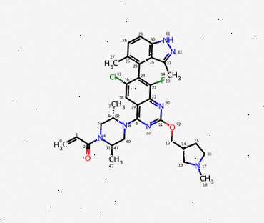 C=CC(=O)N1C[C@H](C)N(c2nc(OCC3CCN(C)C3)nc3c(F)c(-c4c(C)ccc5[nH]nc(C)c45)c(Cl)cc23)C[C@H]1C